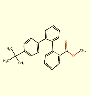 COC(=S)c1ccccc1-c1ccccc1-c1ccc(C(C)(C)C)cc1